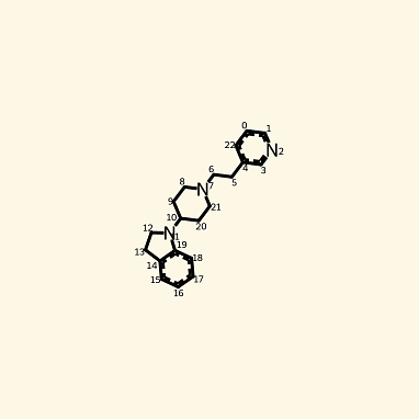 c1cncc(CCN2CCC(N3CCc4ccccc43)CC2)c1